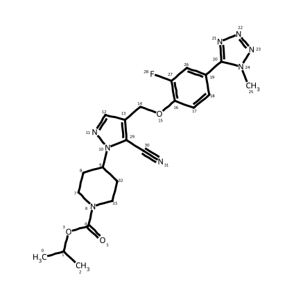 CC(C)OC(=O)N1CCC(n2ncc(COc3ccc(-c4nnnn4C)cc3F)c2C#N)CC1